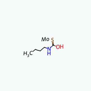 CCCCNC(O)=S.[Mo]